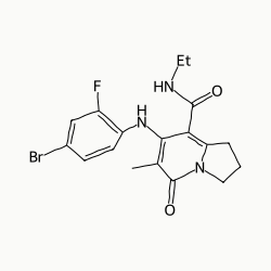 CCNC(=O)c1c(Nc2ccc(Br)cc2F)c(C)c(=O)n2c1CCC2